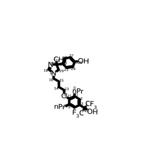 CCCc1cc(C(O)(C(F)(F)F)C(F)(F)F)cc(CCC)c1OCCCCN1C=NC(C)(c2ccc(O)cc2)C1